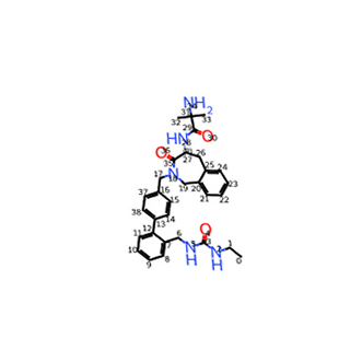 CCNC(=O)NCc1ccccc1-c1ccc(CN2Cc3ccccc3C[C@@H](NC(=O)C(C)(C)N)C2=O)cc1